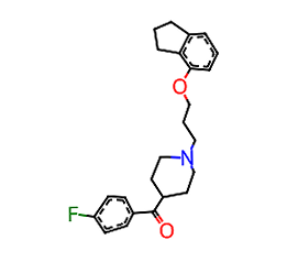 O=C(c1ccc(F)cc1)C1CCN(CCCOc2cccc3c2CCC3)CC1